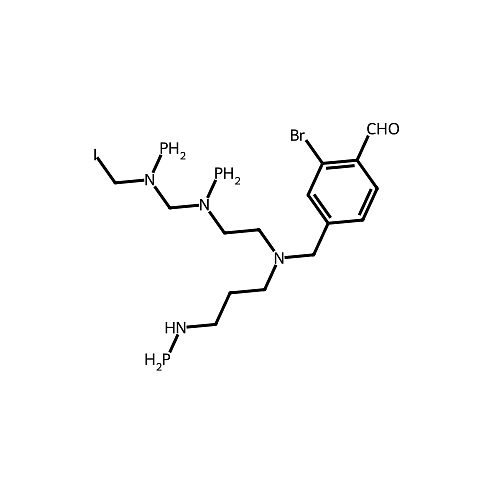 O=Cc1ccc(CN(CCCNP)CCN(P)CN(P)CI)cc1Br